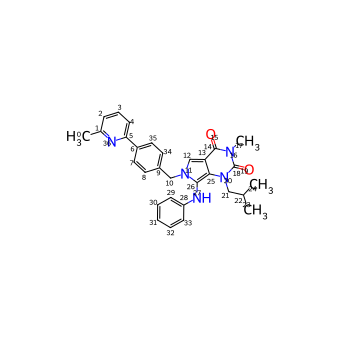 Cc1cccc(-c2ccc(Cn3cc4c(=O)n(C)c(=O)n(CC(C)C)c4c3Nc3ccccc3)cc2)n1